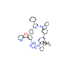 C=C(/C=C\C(=C/CC)c1ccc2c3ccccc3n(-c3cc(-c4ccccc4)cc(-c4ccccc4)n3)c2c1)N(c1ccccc1)c1ncnc(-c2ccc3oc4cccnc4c3c2)n1